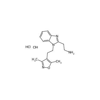 Cc1noc(C)c1CCn1c(CCN)nc2ccccc21.Cl.Cl